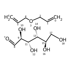 C=CCOCC=C.O=C[C@@H](O)[C@@H](O)[C@H](O)[C@H](O)CO